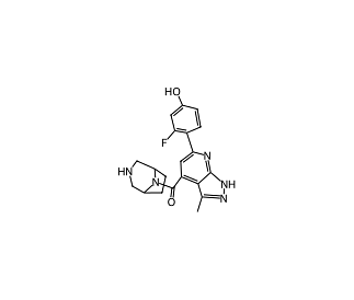 Cc1n[nH]c2nc(-c3ccc(O)cc3F)cc(C(=O)N3C4CCC3CNC4)c12